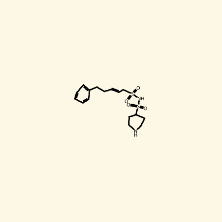 O=S(=O)(CC=CCCc1ccccc1)NS(=O)(=O)C1CCNCC1